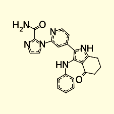 NC(=O)c1nccn1-c1cc(-c2[nH]c3c(c2Nc2ccccc2)C(=O)CCC3)ccn1